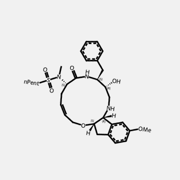 CCCCCS(=O)(=O)N(C)[C@H]1CC=CCO[C@H]2Cc3ccc(OC)cc3[C@H]2NC[C@@H](O)[C@H](Cc2ccccc2)NC1=O